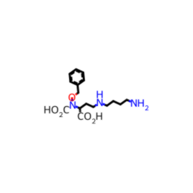 NCCCCNCCC(C(=O)O)N(OCc1ccccc1)C(=O)O